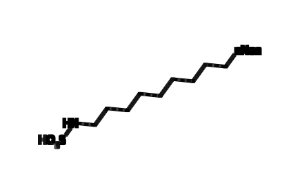 CCCCCCCCCCCCCCCCCCNS(=O)(=O)O